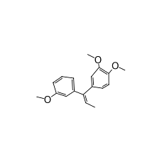 CC=C(c1cccc(OC)c1)c1ccc(OC)c(OC)c1